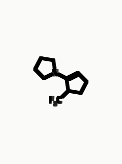 FC(F)(F)C1CCC=C1N1CCCC1